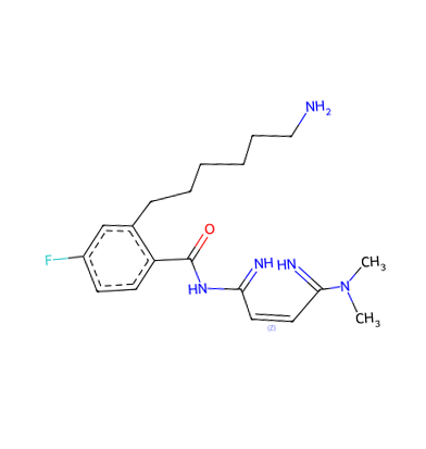 CN(C)C(=N)/C=C\C(=N)NC(=O)c1ccc(F)cc1CCCCCCN